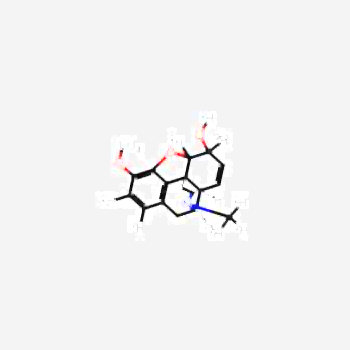 [2H]OC1([2H])C=C[C@H]2[C@H]3Cc4c([2H])c([2H])c(OC)c5c4[C@@]2(CCN3C([2H])([2H])[2H])C1([2H])O5